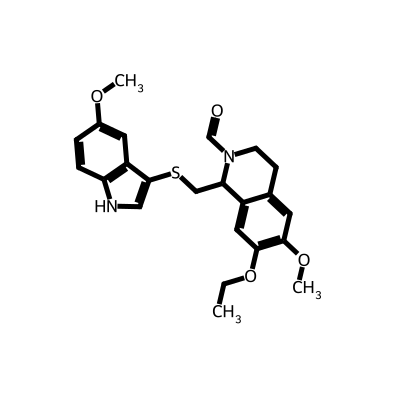 CCOc1cc2c(cc1OC)CCN(C=O)C2CSc1c[nH]c2ccc(OC)cc12